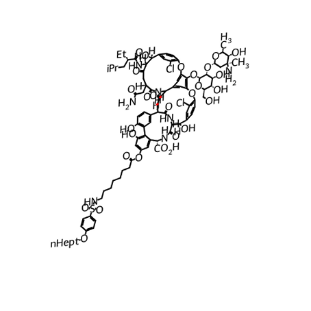 CCCCCCCOc1ccc(S(=O)(=O)NCCCCCCCC(=O)Oc2cc(O)c3c(c2)[C@@H](C(=O)O)NC(=O)[C@H]2NC(=O)[C@H](CC(=O)[C@@H]4NC(=O)[C@H](CC(N)=O)CC(=O)[C@H](NC(=O)[C@H](CC)CC(C)C)[C@H](O)c5ccc(c(Cl)c5)Oc5cc4cc(c5O[C@@H]4O[C@H](CO)[C@@H](O)[C@H](O)[C@H]4O[C@H]4C[C@](C)(N)[C@H](O)[C@H](C)O4)Oc4ccc(cc4Cl)[C@H]2O)c2ccc(O)c-3c2)cc1